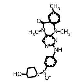 Cc1ccc2c(c1)C(=O)N(C)c1cnc(Nc3ccc([S+]([O-])N4CCC(O)CC4)cc3)nc1N2C